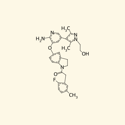 Cc1ccc(F)c(CC(=O)N2CCc3cc(Oc4cc(-c5c(C)nn(CCO)c5C)cnc4N)ccc32)c1